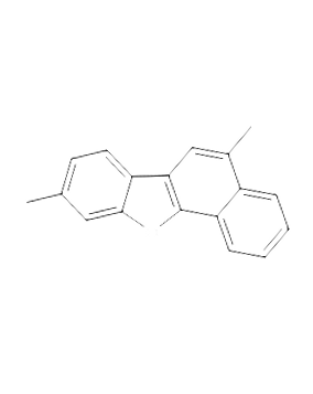 Cc1ccc2c(c1)oc1c3ccccc3c(C)cc21